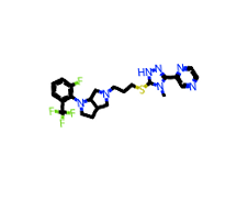 CN1C(c2cnccn2)=NNC1SCCCN1CC2CCN(c3c(F)cccc3C(F)(F)F)C2C1